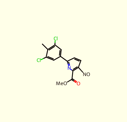 COC(=O)c1nc(-c2cc(Cl)c(C)c(Cl)c2)ccc1N=O